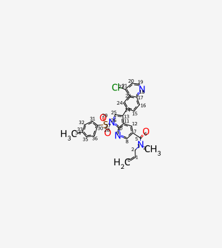 C=CCN(C)C(=O)c1cnc2c(c1)c(-c1ccc3nccc(Cl)c3c1)cn2S(=O)(=O)c1ccc(C)cc1